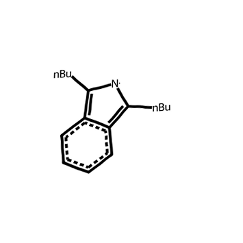 CCCCC1=c2ccccc2=C(CCCC)[N]1